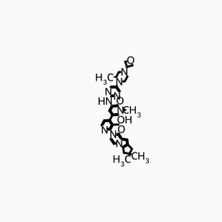 C[C@H]1CN(C2COC2)CCN1c1cnc(Nc2cc(-c3ccnc(-n4ccn5c6c(cc5c4=O)CC(C)(C)C6)c3CO)cn(C)c2=O)nc1